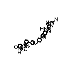 COc1cc2nn(C3CCC(CN4CCC(c5cccc6c5n(C)c(=O)n6C5CCC(=O)NC5=O)CC4)CC3)cc2cc1NC(=O)c1cnn2cc(C#N)cnc12